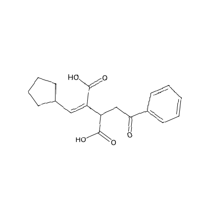 O=C(O)C(=CC1CCCC1)C(CC(=O)c1ccccc1)C(=O)O